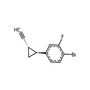 C#C[C@H]1C[C@@H]1c1ccc(Br)c(F)c1